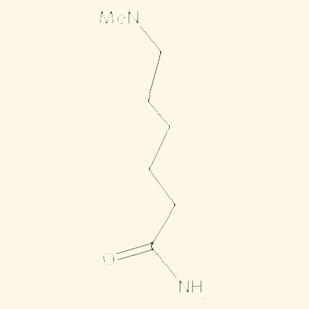 CNCCCCCC(N)=O